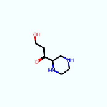 O=C(CCO)C1CNCCN1